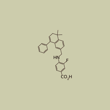 CC1(C)CC=C(c2ccccc2)c2cc(CNc3ccc(C(=O)O)cc3F)ccc21